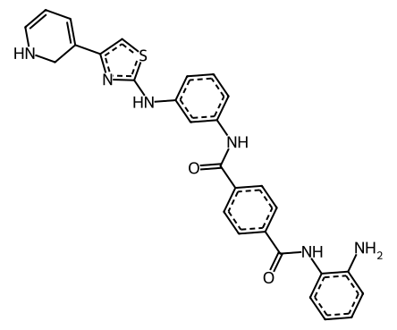 Nc1ccccc1NC(=O)c1ccc(C(=O)Nc2cccc(Nc3nc(C4=CC=CNC4)cs3)c2)cc1